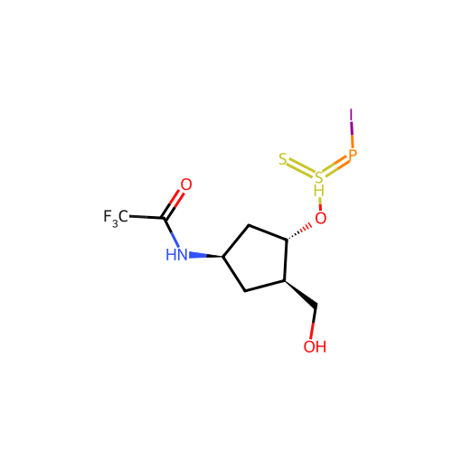 O=C(N[C@@H]1C[C@H](CO)[C@@H](O[SH](=S)=PI)C1)C(F)(F)F